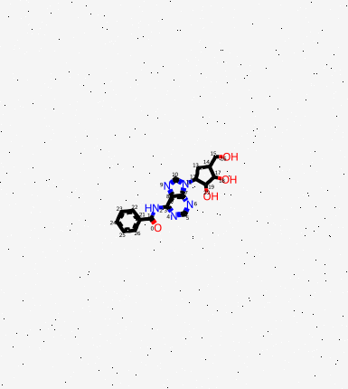 O=C(Nc1ncnc2c1ncn2C1CC(CO)C(O)C1O)c1ccccc1